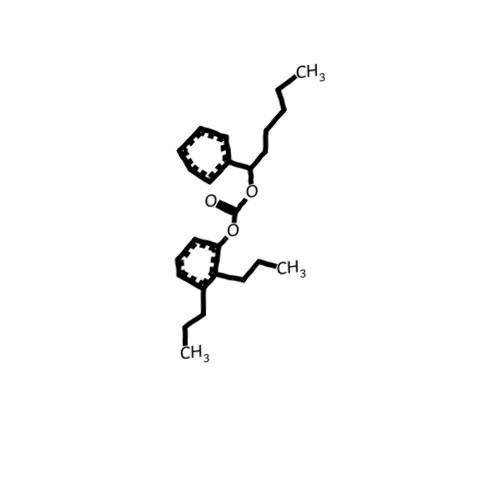 CCCCCC(OC(=O)Oc1cccc(CCC)c1CCC)c1ccccc1